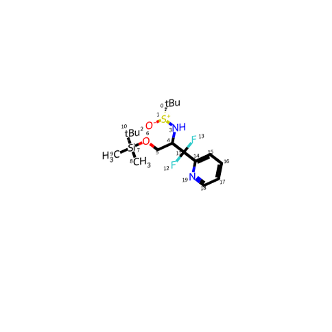 CC(C)(C)[S@@+]([O-])NC(CO[Si](C)(C)C(C)(C)C)C(F)(F)c1ccccn1